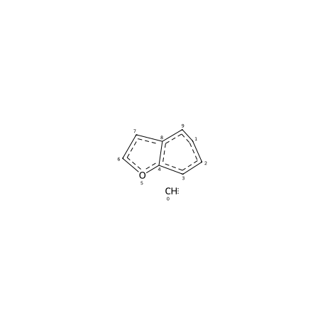 [CH].c1ccc2occc2c1